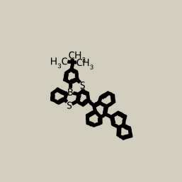 CC(C)(C)c1ccc2c(c1)Sc1cc(-c3c4ccccc4c(-c4ccc5ccccc5c4)c4ccccc34)cc3c1B2c1ccccc1S3